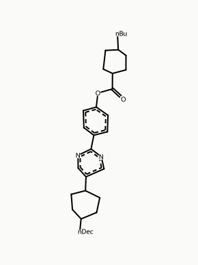 CCCCCCCCCCC1CCC(c2cnc(-c3ccc(OC(=O)C4CCC(CCCC)CC4)cc3)nc2)CC1